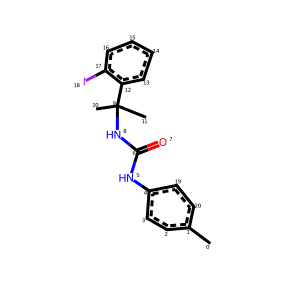 Cc1ccc(NC(=O)NC(C)(C)c2ccccc2I)cc1